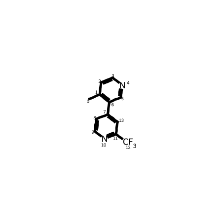 Cc1ccncc1-c1ccnc(C(F)(F)F)c1